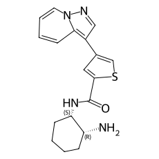 N[C@@H]1CCCC[C@@H]1NC(=O)c1cc(-c2cnn3ccccc23)cs1